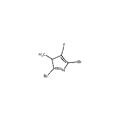 Cn1c(Br)nc(Br)c1F